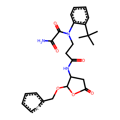 CC(C)(C)c1ccccc1N(CCC(=O)NC1CC(=O)OC1OCc1ccccc1)C(=O)C(N)=O